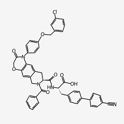 N#Cc1ccc(-c2ccc(C[C@H](NC(=O)[C@@H]3Cc4cc5c(cc4CN3C(=O)c3ccccc3)OCC(=O)N5c3ccc(OCc4cccc(Cl)c4)cc3)C(=O)O)cc2)cc1